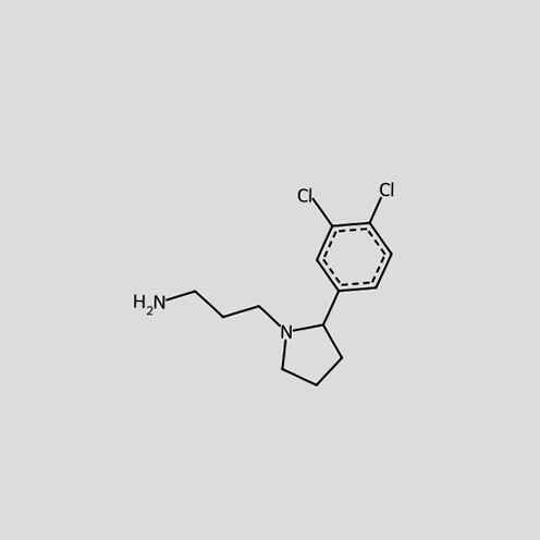 NCCCN1CCCC1c1ccc(Cl)c(Cl)c1